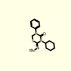 CC(C)(C)/N=C1\SCN(c2ccccc2)C(=O)N1C1CCCCC1